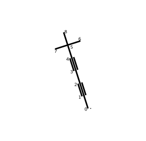 [CH2]C#CC#CC(C)(C)C